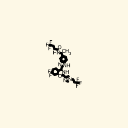 C[C@@H](NC(=O)CCC(F)(F)F)c1ccc2[nH]c([C@@H](NC(=O)c3cn(CCC(F)(F)F)cn3)C3CCC(F)(F)CC3)nc2c1